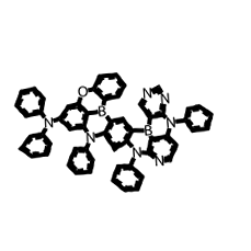 c1ccc(N(c2ccccc2)c2cc3c4c(c2)N(c2ccccc2)c2cc5c(cc2B4c2ccccc2O3)B2c3cncnc3N(c3ccccc3)c3ccnc(c32)N5c2ccccc2)cc1